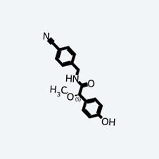 CO[C@H](C(=O)NCc1ccc(C#N)cc1)c1ccc(O)cc1